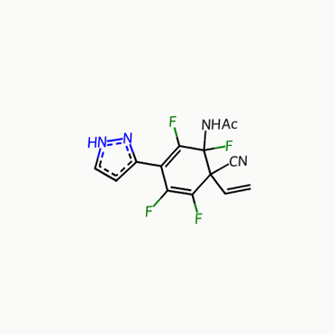 C=CC1(C#N)C(F)=C(F)C(c2cc[nH]n2)=C(F)C1(F)NC(C)=O